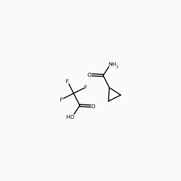 NC(=O)C1CC1.O=C(O)C(F)(F)F